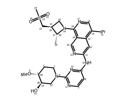 CO[C@@H]1CCN(c2nccc(Nc3cc4c(C(C)C)cnc(N5C[C@H](CS(C)(=O)=O)[C@H]5C)c4cn3)n2)C[C@H]1O